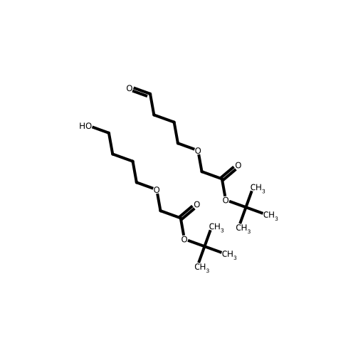 CC(C)(C)OC(=O)COCCCC=O.CC(C)(C)OC(=O)COCCCCO